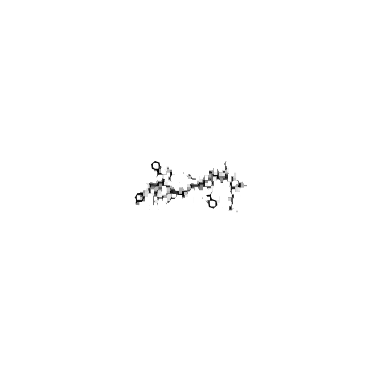 CC[C@H](C)[C@H](NC(=O)[C@@H](NC(=O)[C@H](Cc1c[nH]c2ccccc12)NC(=O)[C@@H](CCCN)NC(=O)CNC(=O)[C@H](CCCN)NC(=O)[C@@H](CCCN)NC(=O)[C@@H](Cc1c[nH]c2ccccc12)NC(=O)[C@@H](Cc1ccc(O)cc1)NC(=O)[C@@H](N)CO)[C@@H](C)O)C(=O)N[C@@H](CC(N)=O)C(=O)NCC(=O)NCC(=O)O